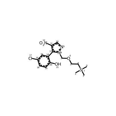 C[Si](C)(C)CCOCn1ncc([N+](=O)[O-])c1-c1cc(Cl)ccc1O